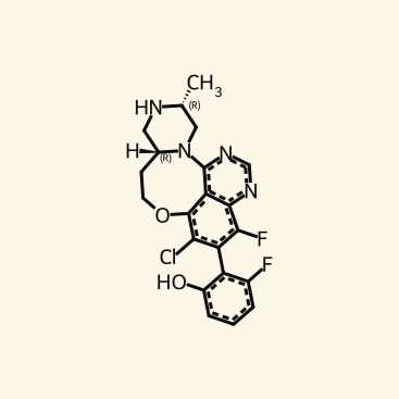 C[C@@H]1CN2c3ncnc4c(F)c(-c5c(O)cccc5F)c(Cl)c(c34)OCC[C@@H]2CN1